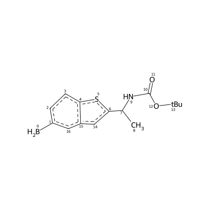 Bc1ccc2sc(C(C)NC(=O)OC(C)(C)C)cc2c1